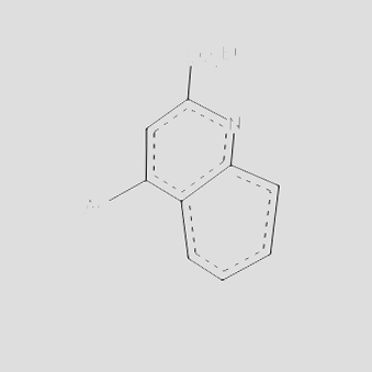 CCOC(=O)c1cc(C(C)=O)c2ccccc2n1